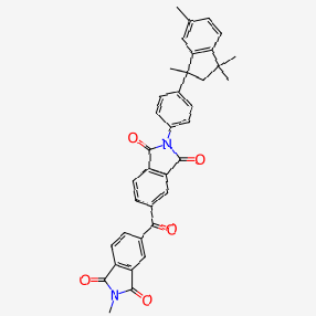 Cc1ccc2c(c1)C(C)(c1ccc(N3C(=O)c4ccc(C(=O)c5ccc6c(c5)C(=O)N(C)C6=O)cc4C3=O)cc1)CC2(C)C